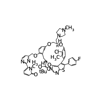 Cc1c2ccc(c1Cl)O[C@H](CN1CCN(C)CC1)COc1ccc(OCc3ccnc(-c4cccc(=O)n4C)n3)c(c1)C[C@H](C(=O)OC(C)(C)C)Oc1ncnc3sc(-c4ccc(F)cc4)c-2c13